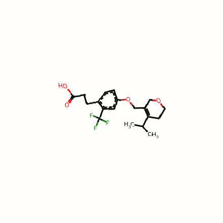 CC(C)C1=C(COc2ccc(CCC(=O)O)c(C(F)(F)F)c2)COCC1